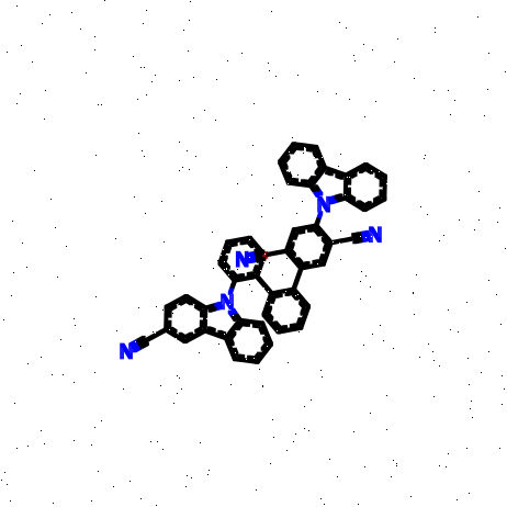 N#Cc1ccc2c(c1)c1ccccc1n2-c1ccccc1-c1ccccc1-c1cc(C#N)c(-n2c3ccccc3c3ccccc32)cc1C#N